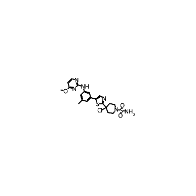 COc1ccnc(Nc2cc(C)cc(-c3cnc(C4(Cl)CCN(S(N)(=O)=O)CC4)s3)c2)n1